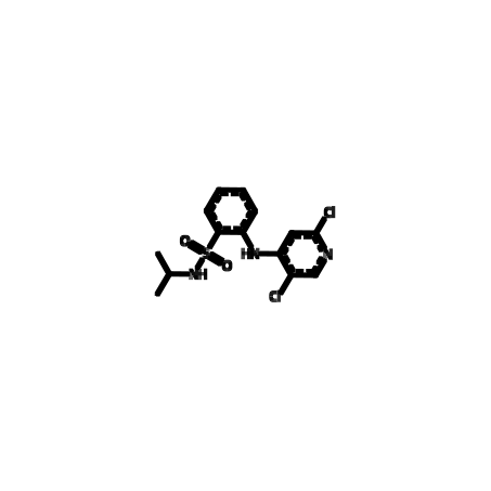 CC(C)NS(=O)(=O)c1ccccc1Nc1cc(Cl)ncc1Cl